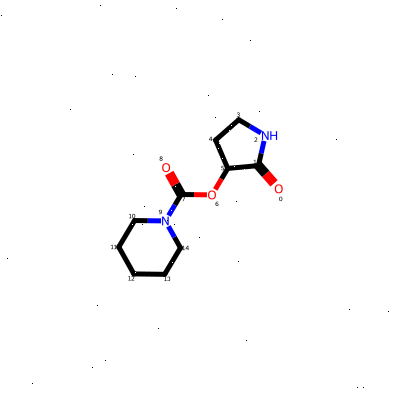 O=C1NCCC1OC(=O)N1CCCCC1